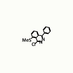 CSc1cccc2c(-c3ccccc3)nnc(Cl)c12